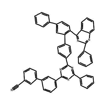 N#Cc1cccc(-c2cccc(-c3nc(-c4ccccc4)nc(-c4ccc(-c5cc(-c6ccccc6)ccc5-c5nc(-c6ccccc6)nc6ccccc56)cc4)n3)c2)c1